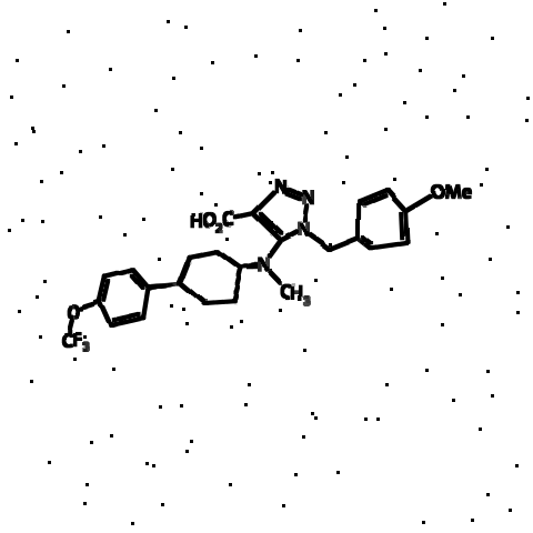 COc1ccc(Cn2nnc(C(=O)O)c2N(C)[C@H]2CC[C@@H](c3ccc(OC(F)(F)F)cc3)CC2)cc1